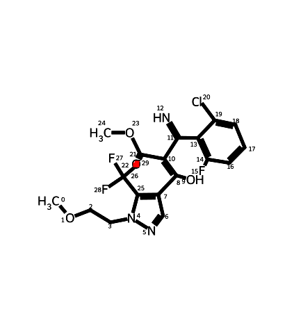 COCCn1ncc(/C(O)=C(/C(=N)c2c(F)cccc2Cl)C(=O)OC)c1C(F)(F)F